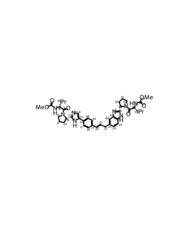 COC(=O)N[C@H](C(=O)N1CCC[C@H]1c1ncc(-c2ccc(C=CCc3ccc4[nH]c([C@@H]5CCCN5C(=O)[C@@H](NC(=O)OC)C(C)C)nc4c3)cc2)[nH]1)C(C)C